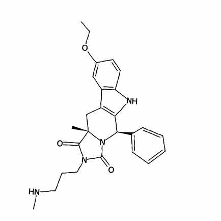 CCOc1ccc2[nH]c3c(c2c1)C[C@@]1(C)C(=O)N(CCCNC)C(=O)N1[C@@H]3c1ccccc1